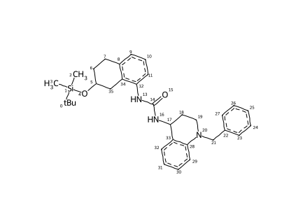 CC(C)(C)[Si](C)(C)OC1CCc2cccc(NC(=O)NC3CCN(Cc4ccccc4)c4ccccc43)c2C1